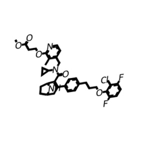 COC(=O)CCOc1nccc(CN(C(=O)C2=C(c3ccc(CCCOc4c(F)ccc(F)c4Cl)cc3)CC3CCC2N3)C2CC2)c1C